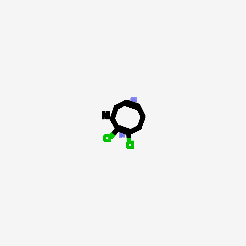 Cl/C1=C(\Cl)CC/C=C\CC1.[Ni]